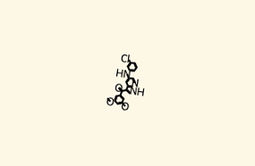 COc1cc(OC)cc(C(=O)c2c[nH]c3ncc(Nc4cccc(Cl)c4)cc23)c1